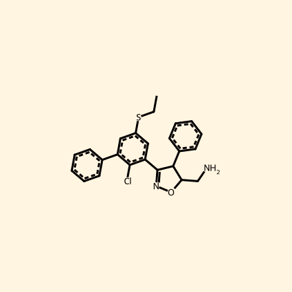 CCSc1cc(C2=NOC(CN)C2c2ccccc2)c(Cl)c(-c2ccccc2)c1